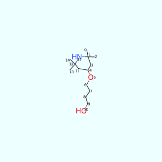 CC1(C)CC(OCCCCO)CC(C)(C)N1